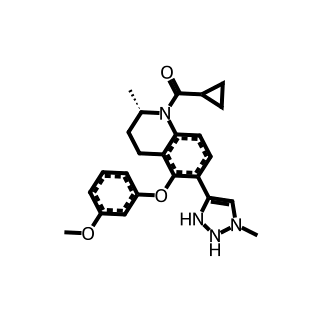 COc1cccc(Oc2c(C3=CN(C)NN3)ccc3c2CC[C@H](C)N3C(=O)C2CC2)c1